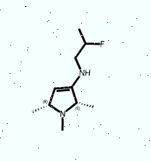 CC(F)CNC1=C[C@@H](C)N(C)[C@H]1C